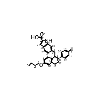 CCCCOc1ccc2c(c1)CCN(c1ccc(F)cc1)C2Cc1ccc2cc(C(=O)O)[nH]c2c1